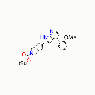 COc1ccccc1-c1ccnc2[nH]c(C3=CC4CN(C(=O)OC(C)(C)C)CC4C3)cc12